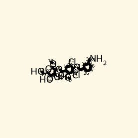 COc1c(C(=O)O[C@H]2[C@@H](OC)O[C@H](CO)[C@@H](O)[C@@H]2O)cc(Cl)c(OCc2cccc(CN)c2)c1Cl